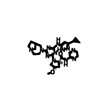 CO[C@H]1C[C@@H](C(=O)NC2=NCCN=C2)N(c2nc(Nc3cc(C4CC4)n[nH]3)nc(N3CCN4CCC(C4)C3)n2)C1